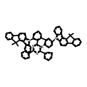 CC1(C)c2ccccc2-c2ccc3c(c21)c1ccccc1n3-c1ccc(C#N)c(-c2cccc(-n3c4ccccc4c4c5c(ccc43)-c3ccccc3C5(C)C)c2-c2nc(-c3ccccc3)nc(-c3ccccc3)n2)c1